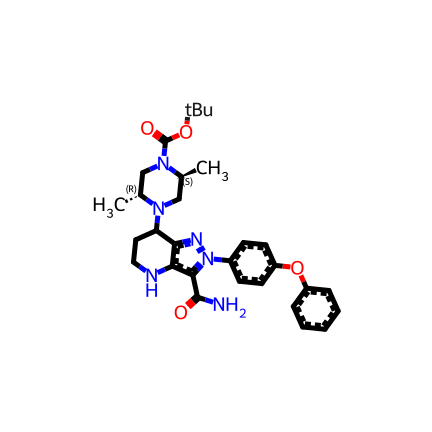 C[C@@H]1CN(C(=O)OC(C)(C)C)[C@@H](C)CN1C1CCNc2c1nn(-c1ccc(Oc3ccccc3)cc1)c2C(N)=O